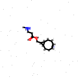 CNCCC(=O)OCC1C2CC/C=C\CCC21